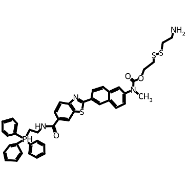 CN(C(=O)OCCSSCCN)c1ccc2cc(-c3nc4ccc(C(=O)NCC[PH](c5ccccc5)(c5ccccc5)c5ccccc5)cc4s3)ccc2c1